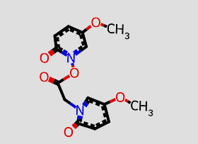 COc1ccc(=O)n(CC(=O)On2cc(OC)ccc2=O)c1